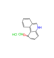 Cl.Cl.O=c1cccc2[nH]cc3ccccc3c1-2